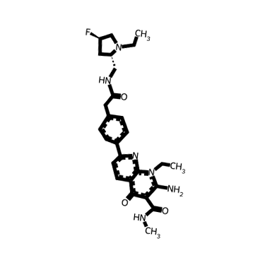 CCN1C[C@H](F)C[C@H]1CNC(=O)Cc1ccc(-c2ccc3c(=O)c(C(=O)NC)c(N)n(CC)c3n2)cc1